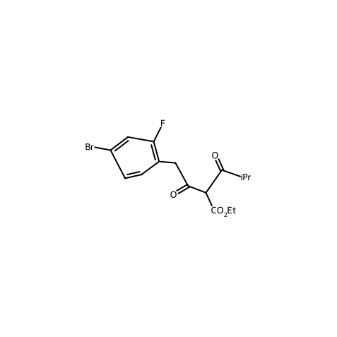 CCOC(=O)C(C(=O)Cc1ccc(Br)cc1F)C(=O)C(C)C